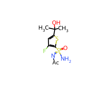 CC(=O)N=S(N)(=O)c1sc(C(C)(C)O)cc1F